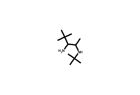 CC(NC(C)(C)C)C(N)C(C)(C)C